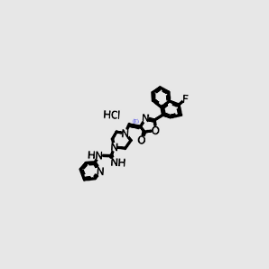 Cl.N=C(Nc1ccccn1)N1CCN(/C=C2/N=C(c3ccc(F)c4ccccc34)OC2=O)CC1